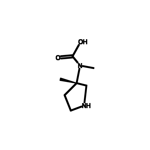 CN(C(=O)O)[C@@]1(C)CCNC1